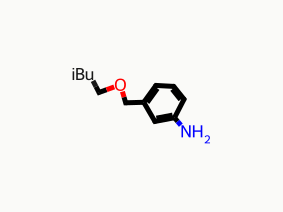 CCC(C)COCc1cccc(N)c1